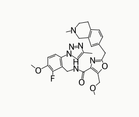 COCc1oc(Cc2ccc3c(c2)CN(C)CC3)nc1C(=O)NCc1c(-n2cc(C)nn2)ccc(OC)c1F